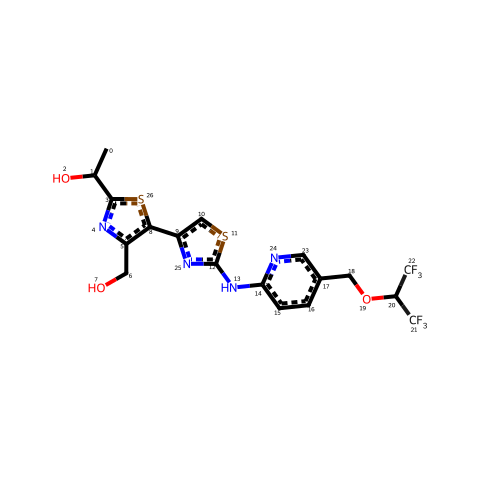 CC(O)c1nc(CO)c(-c2csc(Nc3ccc(COC(C(F)(F)F)C(F)(F)F)cn3)n2)s1